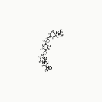 O=[N+]([O-])c1cn2c(n1)OC(COc1ccc(COCc3ccc(OC(F)(F)F)cc3)nc1)CC2